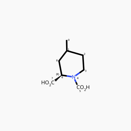 CC1CCN(C(=O)O)[C@@H](C(=O)O)C1